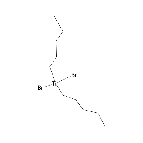 CCCC[CH2][Ti]([Br])([Br])[CH2]CCCC